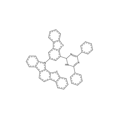 c1ccc(C2=NC(c3cc(-n4c5ccccc5c5ccc6c7ccccc7sc6c54)cc4c3sc3ccccc34)NC(c3ccccc3)=N2)cc1